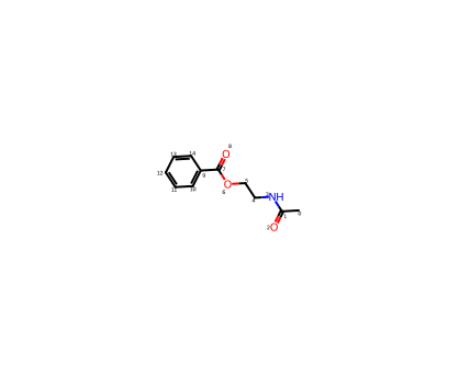 CC(=O)NCCOC(=O)c1ccccc1